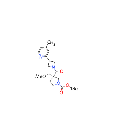 COCC1(C(=O)N2CC(c3cc(C)ccn3)C2)CCN(C(=O)OC(C)(C)C)C1